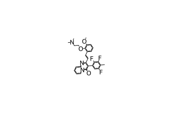 COc1cccc(C=Cc2nc3ccccn3c(=O)c2-c2cc(F)c(C)c(F)c2F)c1OCCN(C)C